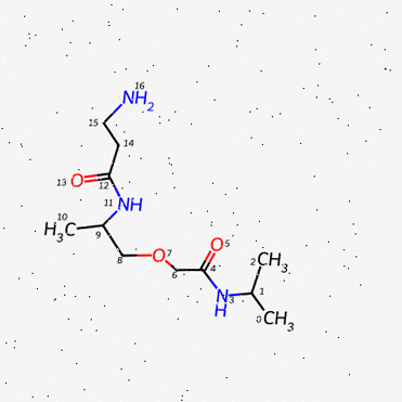 CC(C)NC(=O)COCC(C)NC(=O)CCN